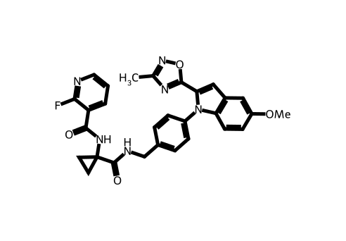 COc1ccc2c(c1)cc(-c1nc(C)no1)n2-c1ccc(CNC(=O)C2(NC(=O)c3cccnc3F)CC2)cc1